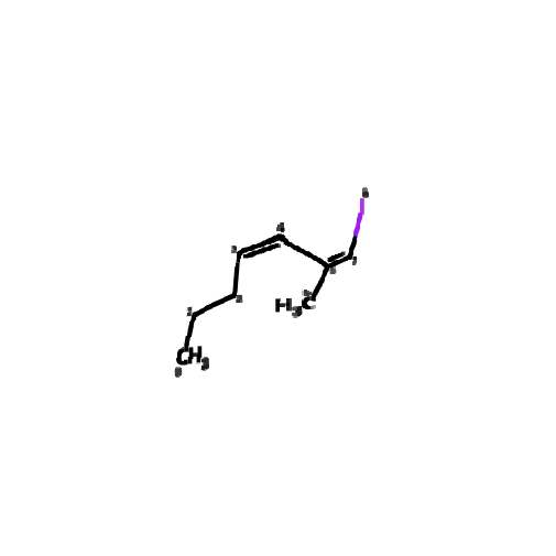 CCC/C=C\C(C)=C/I